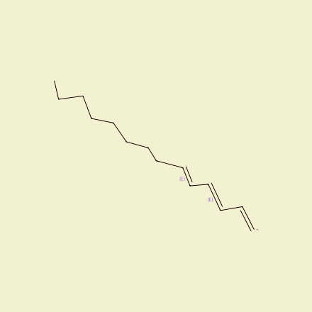 [CH]=C/C=C/C=C/CCCCCCCC